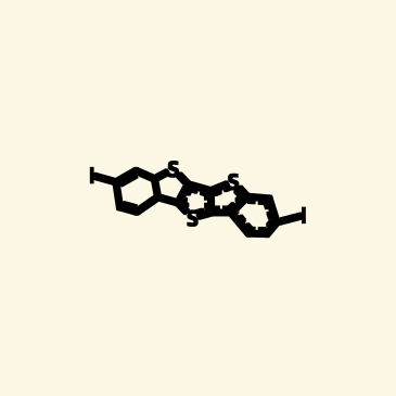 IC1=CC2Sc3c(sc4c3sc3cc(I)ccc34)C2C=C1